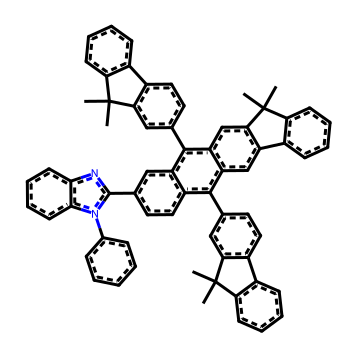 CC1(C)c2ccccc2-c2ccc(-c3c4ccc(-c5nc6ccccc6n5-c5ccccc5)cc4c(-c4ccc5c(c4)C(C)(C)c4ccccc4-5)c4cc5c(cc34)-c3ccccc3C5(C)C)cc21